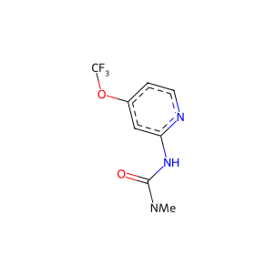 CNC(=O)Nc1cc(OC(F)(F)F)ccn1